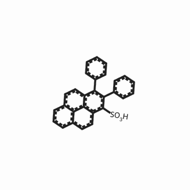 O=S(=O)(O)c1c(-c2ccccc2)c(-c2ccccc2)c2ccc3cccc4ccc1c2c34